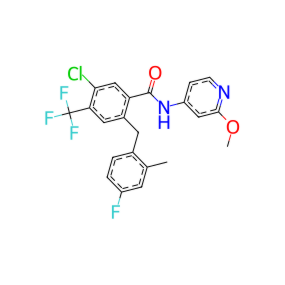 COc1cc(NC(=O)c2cc(Cl)c(C(F)(F)F)cc2Cc2ccc(F)cc2C)ccn1